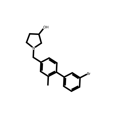 Cc1cc(CN2CCC(O)C2)ccc1-c1cccc(Br)c1